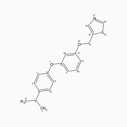 CC(C)c1ccc(Oc2cccc(OCc3cncs3)c2)cc1